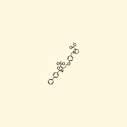 COC(=O)[C@@H]1CCCN1Cc1ccc(OCCc2nc(-c3ccc(-c4ccccc4)cc3)oc2S(C)(=O)=O)cc1